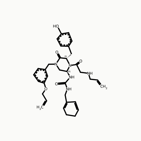 C=CCNCC(=O)N1[C@@H](NC(=O)NCC2=CCCC=C2)CN(Cc2cccc(OCC=C)c2)C(=O)[C@@H]1Cc1ccc(O)cc1